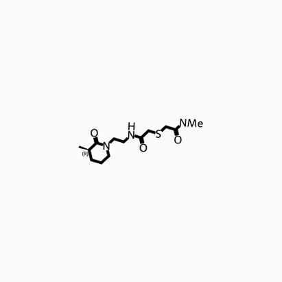 CNC(=O)CSCC(=O)NCCN1CCC[C@@H](C)C1=O